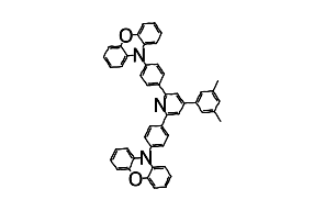 Cc1cc(C)cc(-c2cc(-c3ccc(N4c5ccccc5Oc5ccccc54)cc3)nc(-c3ccc(N4c5ccccc5Oc5ccccc54)cc3)c2)c1